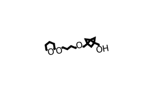 OCC12CC3(COCCCCOC4CCCCO4)CC13C2